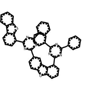 c1ccc(-c2nc(-c3ccc4oc5cccc(-c6nc(-c7ccccc7)nc(-c7ccccc7)n6)c5c4c3)nc(-c3cccc4c3sc3ccccc34)n2)cc1